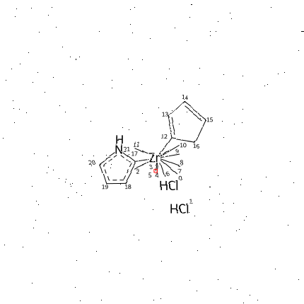 Cl.Cl.[CH3][Zr]([CH3])([CH3])([CH3])([CH3])([CH3])([CH3])([CH3])([CH3])([C]1=CC=CC1)[c]1ccc[nH]1